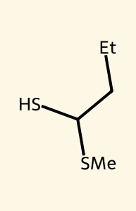 CCCC(S)SC